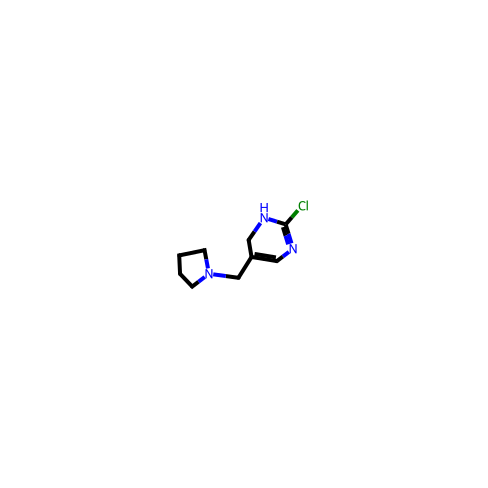 ClC1=NC=C(CN2CCCC2)CN1